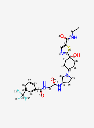 CCNC(=O)c1cnc(C2(O)CCC(N3CC[C@@H](NC(=O)CNC(=O)c4cccc(C(F)(F)F)c4)C3)CC2)s1